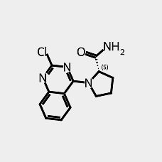 NC(=O)[C@@H]1CCCN1c1nc(Cl)nc2ccccc12